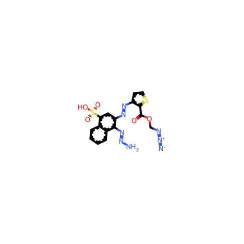 [N-]=[N+]=NCOC(=O)c1sccc1/N=N/c1cc(S(=O)(=O)O)c2ccccc2c1N=NN